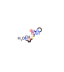 CN(C)Cc1ccc(CSCCNC(=C[N+](=O)[O-])N2CCCCCC2)o1